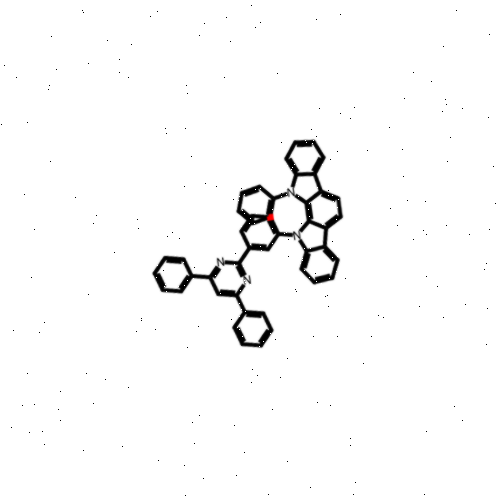 c1ccc(-c2cc(-c3ccccc3)nc(-c3cccc(-n4c5ccccc5c5ccc6c7ccccc7n(-c7ccccc7)c6c54)c3)n2)cc1